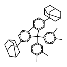 Cc1ccc(C2(c3ccc(C)c(C)c3)c3cc(C45CC6CC(CC(C6)C4)C5)ccc3-c3ccc(C45CC6CC(CC(C6)C4)C5)cc32)cc1C